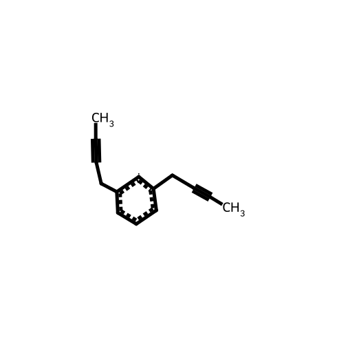 CC#CCc1[c]c(CC#CC)ccc1